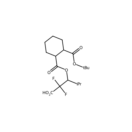 CC(C)C(OC(=O)C1CCCCC1C(=O)OC(C)(C)C)C(F)(F)C(=O)O